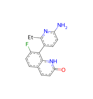 CCc1nc(N)ccc1-c1c(F)ccc2ccc(=O)[nH]c12